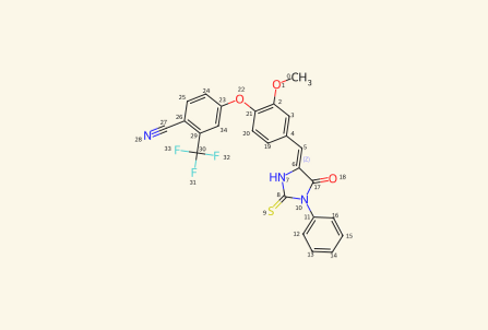 COc1cc(/C=C2\NC(=S)N(c3ccccc3)C2=O)ccc1Oc1ccc(C#N)c(C(F)(F)F)c1